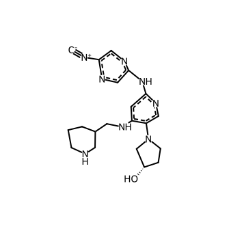 [C-]#[N+]c1cnc(Nc2cc(NCC3CCCNC3)c(N3CC[C@H](O)C3)cn2)cn1